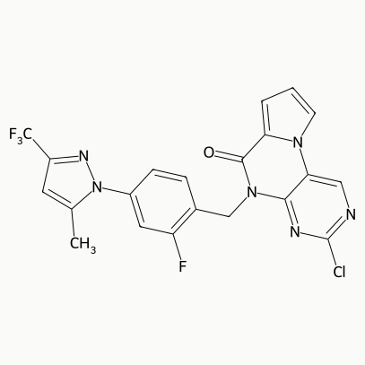 Cc1cc(C(F)(F)F)nn1-c1ccc(Cn2c(=O)c3cccn3c3cnc(Cl)nc32)c(F)c1